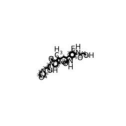 Cc1c(C=C2C(=O)Nc3cc(NC(=O)CO)c(F)cc32)[nH]c2c1C(=O)N(CC(O)CN1CCOCC1)CC2